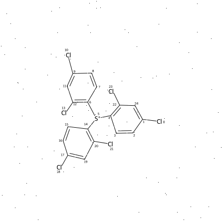 Clc1ccc([S+](c2ccc(Cl)cc2Cl)c2ccc(Cl)cc2Cl)c(Cl)c1